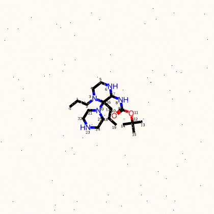 CCCN1CCNC(NC(=O)OC(C)(C)C)C1(CCC)N1CCNCC1